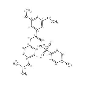 COc1cc(OC)cc(C(Cc2ccc(OC(C)C)cc2)=NNS(=O)(=O)c2ccc(C)cc2)c1